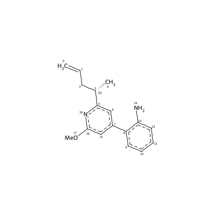 C=CC[C@H](C)c1cc(-c2ccccc2N)cc(OC)n1